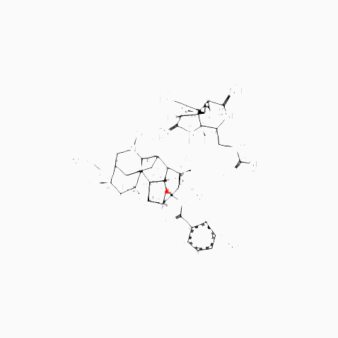 CCN1C[C@]2(COC)[C@H](O)C[C@H](OC)[C@]34C1[C@H]([C@H](OC)[C@H]23)[C@]1(OC(C)=O)[C@H]2[C@@H](OC(=O)c3ccccc3)[C@](O)(C[C@H]24)[C@@H](OC)[C@@H]1O.N=C1N[C@H]2C(COC(N)=O)NC(=N)C3CCC(O)(O)[C@@]32N1.[NaH]